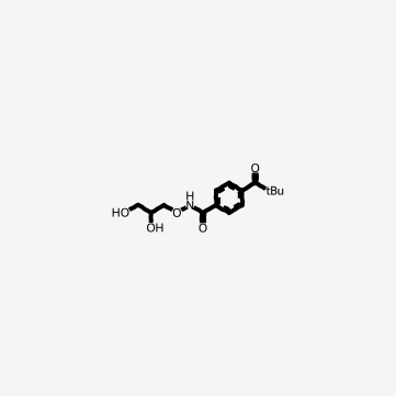 CC(C)(C)C(=O)c1ccc(C(=O)NOCC(O)CO)cc1